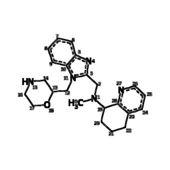 CN(Cc1nc2ccccc2n1CC1CNCCO1)C1CCCc2cccnc21